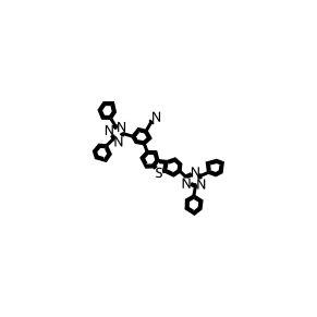 N#Cc1cc(-c2ccc3sc4cc(-c5nc(-c6ccccc6)nc(-c6ccccc6)n5)ccc4c3c2)cc(-c2nc(-c3ccccc3)nc(-c3ccccc3)n2)c1